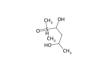 CC(O)CC(O)[SH](C)(C)=O